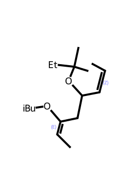 C/C=C\C(C/C(=C\C)OC(C)CC)OC(C)(C)CC